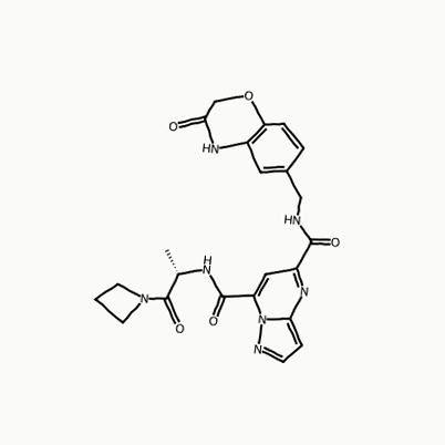 C[C@H](NC(=O)c1cc(C(=O)NCc2ccc3c(c2)NC(=O)CO3)nc2ccnn12)C(=O)N1CCC1